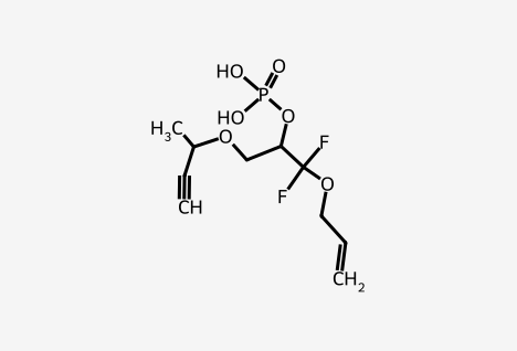 C#CC(C)OCC(OP(=O)(O)O)C(F)(F)OCC=C